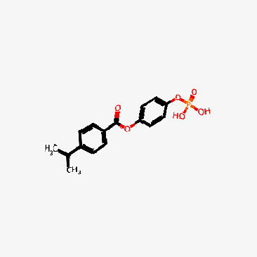 CC(C)c1ccc(C(=O)Oc2ccc(OP(=O)(O)O)cc2)cc1